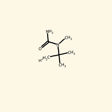 [CH2]C(C)(C)N(C)C(N)=O.[H+]